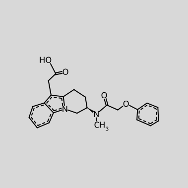 CN(C(=O)COc1ccccc1)[C@@H]1CCc2c(CC(=O)O)c3ccccc3n2C1